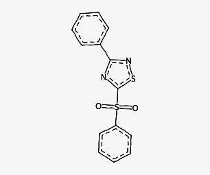 O=S(=O)(c1ccccc1)c1nc(-c2ccccc2)ns1